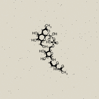 CC(=O)CC1C(OP(=O)(O)OP(=O)(O)OCC2OC(N/C=C\C(=O)NC(C)=O)C(O)C2O)OC(CO)C(O)C1O